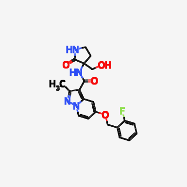 Cc1nn2ccc(OCc3ccccc3F)cc2c1C(=O)NC1(CO)CCNC1=O